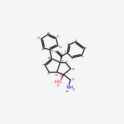 C=C(c1ccccc1)[C@@]12CCC(O)(CN)C1CC=C2c1ccccc1